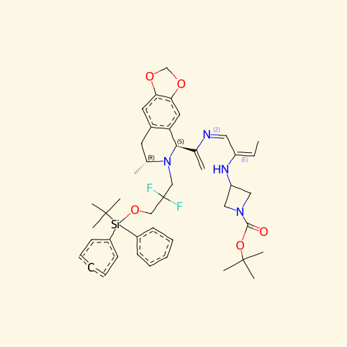 C=C(/N=C\C(=C/C)NC1CN(C(=O)OC(C)(C)C)C1)[C@@H]1c2cc3c(cc2C[C@@H](C)N1CC(F)(F)CO[Si](c1ccccc1)(c1ccccc1)C(C)(C)C)OCO3